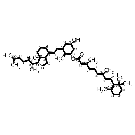 C=C1/C(=C\C=C2/CCC[C@@]3(C)C2CC[C@@H]3[C@H](C)CCCC(C)C)C[C@@H](O)C[C@@H]1OC(=O)/C=C(C)/C=C/C=C(C)/C=C/C1=C(C)CCCC1(C)C